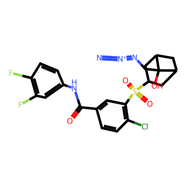 [N-]=[N+]=NCC1(O)C2CC1CC(S(=O)(=O)c1cc(C(=O)Nc3ccc(F)c(F)c3)ccc1Cl)C2